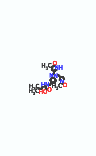 CC(=O)N1CCC(Cn2c(-c3c[nH]c(=O)c(C)c3)nc3cc(CN[C@@H](CCC(C)C)C(=O)O)ccc32)C1